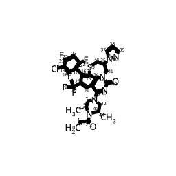 C=CC(=O)N1[C@H](C)CN(c2nc(=O)n3c4c(c(-c5cc(Cl)c(F)cc5F)c(C(F)(F)F)cc24)SCC(n2cccn2)C3)C[C@@H]1C